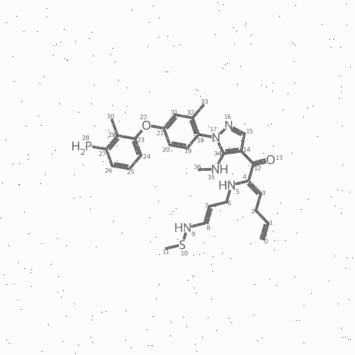 C=CC/C=C(\NC/C=C/NSC)C(=O)c1cnn(-c2ccc(Oc3cccc(P)c3C)cc2C)c1NC